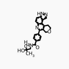 CC(C)(O)CNC(=O)c1ccc(-c2nc3ccc4[nH]ncc4c3c3c2COCC3)cc1